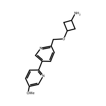 COc1ccc(-c2ccc(COC3CC(N)C3)nc2)nc1